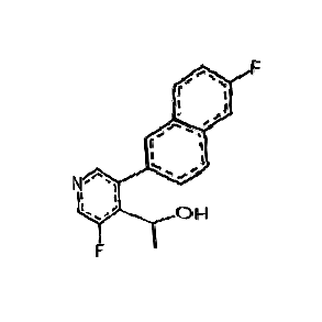 CC(O)c1c(F)cncc1-c1ccc2cc(F)ccc2c1